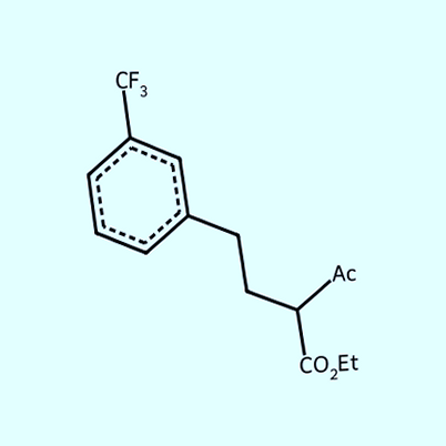 CCOC(=O)C(CCc1cccc(C(F)(F)F)c1)C(C)=O